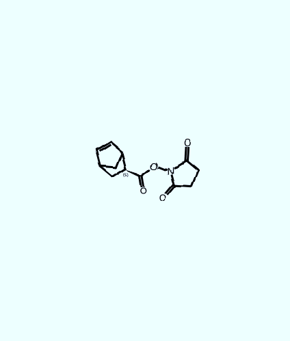 O=C(ON1C(=O)CCC1=O)[C@H]1CC2C=CC1C2